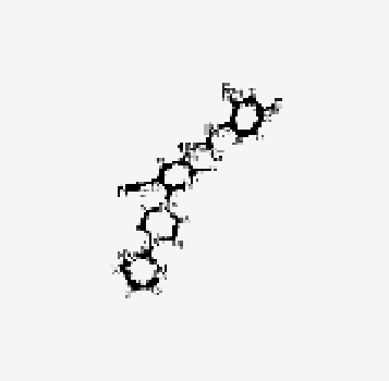 Cc1nc(N2CCN(c3ncccn3)CC2)c(C#N)cc1NC(=O)Nc1ccc(F)cc1F